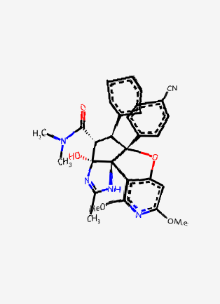 COc1cc2c(c(OC)n1)[C@]13NC(C)=N[C@@]1(O)[C@H](C(=O)N(C)C)[C@@H](c1ccccc1)[C@]3(c1ccc(C#N)cc1)O2